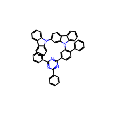 c1ccc(-c2nc(-c3ccccc3)nc(-c3ccc(-c4ccccc4)c(-n4c5ccccc5c5ccc(-n6c7ccccc7c7ccccc76)cc54)c3)n2)cc1